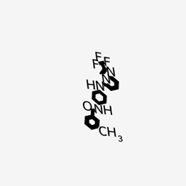 Cc1cccc(C(=O)N[C@H]2CC[C@@H](Nc3cccc4nc(C(F)(F)F)cn34)CC2)c1